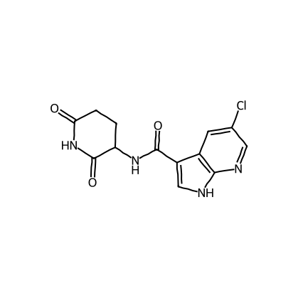 O=C1CCC(NC(=O)c2c[nH]c3ncc(Cl)cc23)C(=O)N1